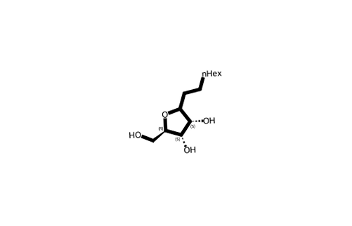 CCCCCCCC[C]1O[C@H](CO)[C@@H](O)[C@H]1O